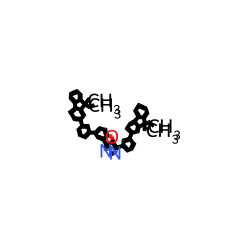 CCC1(CC)c2ccccc2-c2ccc(-c3cccc(-c4ccc5oc6c(-c7cccc(-c8ccc9c(c8)C(CC)(CC)c8ccccc8-9)c7)ncnc6c5c4)c3)cc21